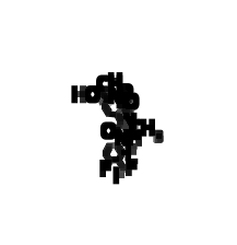 C[C@H](O)[C@H]1C=Cc2c(cn(C)c2C(=O)Nc2ccc(F)c(C(F)F)c2F)S(=O)(=O)N1